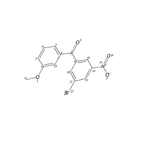 COc1cccc(C(=O)c2cc(Br)cc([N+](=O)[O-])c2)c1